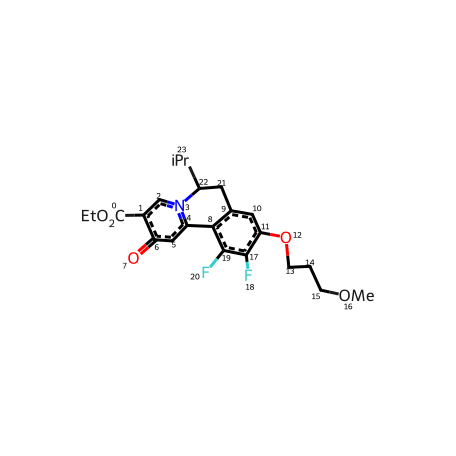 CCOC(=O)c1cn2c(cc1=O)-c1c(cc(OCCCOC)c(F)c1F)CC2C(C)C